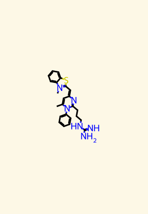 CC1=CC(=Cc2sc3ccccc3[n+]2C)N=C(CCCNC(=N)N)N1c1ccccc1